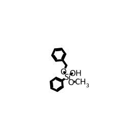 CO[Si](O)(OCc1ccccc1)c1ccccc1